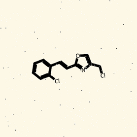 ClCc1coc(C=Cc2ccccc2Cl)n1